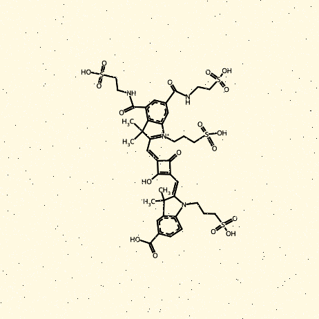 CC1(C)C(/C=C2\C(=O)C(/C=C3/N(CCCS(=O)(=O)O)c4ccc(C(=O)O)cc4C3(C)C)=C2O)=[N+](CCCS(=O)(=O)O)c2cc(C(=O)NCCS(=O)(=O)O)cc(C(=O)NCCS(=O)(=O)O)c21